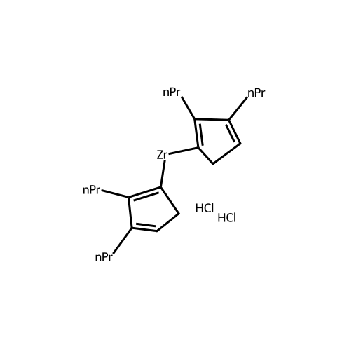 CCCC1=CC[C]([Zr][C]2=C(CCC)C(CCC)=CC2)=C1CCC.Cl.Cl